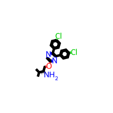 CC(C)[C@@H](N)COc1cnc(-c2ccc(Cl)cc2)c(-c2ccc(Cl)cc2)n1